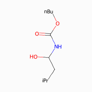 CCCCOC(=O)NC(O)CC(C)C